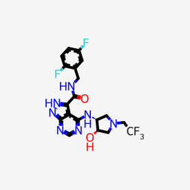 O=C(NCc1cc(F)ccc1F)c1[nH]nc2ncnc(N[C@@H]3CN(CC(F)(F)F)C[C@H]3O)c12